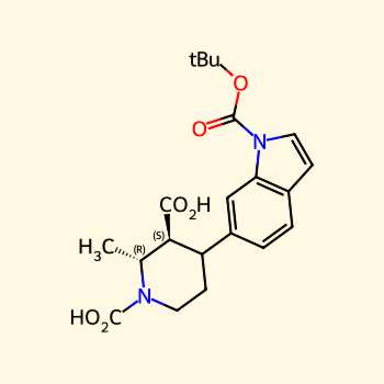 C[C@@H]1[C@@H](C(=O)O)C(c2ccc3ccn(C(=O)OC(C)(C)C)c3c2)CCN1C(=O)O